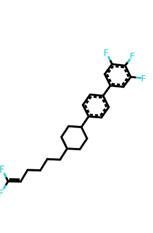 FC(F)=CCCCCC1CCC(c2ccc(-c3cc(F)c(F)c(F)c3)cc2)CC1